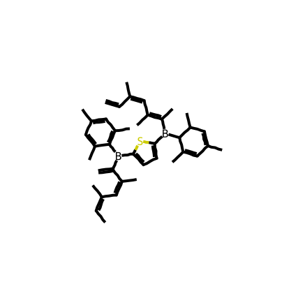 C=C/C(C)=C\C(C)=C(/C)B(c1ccc(B(C(=C)/C(C)=C\C(C)=C/C)c2c(C)cc(C)cc2C)s1)C1C(C)=CC(C)=CC1C